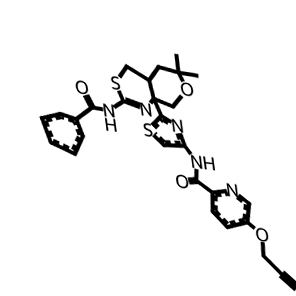 CC#CCOc1ccc(C(=O)Nc2csc(C34COC(C)(C)CC3CSC(NC(=O)c3ccccc3)=N4)n2)nc1